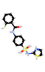 O=C(Nc1ccc(S(=O)(=O)Nc2nccs2)cc1)c1ccccc1F